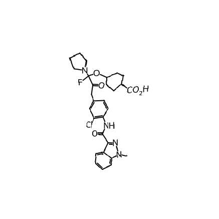 Cn1nc(C(=O)Nc2ccc(CC(=O)C(F)(OC3CCC(C(=O)O)CC3)N3CCCC3)cc2Cl)c2ccccc21